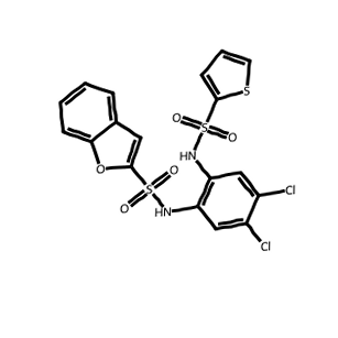 O=S(=O)(Nc1cc(Cl)c(Cl)cc1NS(=O)(=O)c1cccs1)c1cc2ccccc2o1